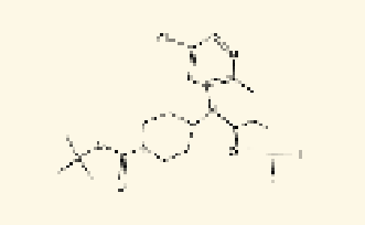 CC(C)(C)OC(=O)N1CCC(N2C(=O)C(CC(F)(F)F)Cc3ncc(Cl)cc32)CC1